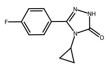 O=c1[nH]nc(-c2ccc(F)cc2)n1C1CC1